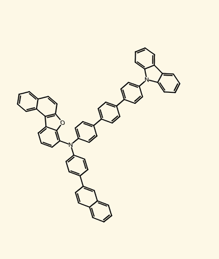 c1ccc2cc(-c3ccc(N(c4ccc(-c5ccc(-c6ccc(-n7c8ccccc8c8ccccc87)cc6)cc5)cc4)c4cccc5c4oc4ccc6ccccc6c45)cc3)ccc2c1